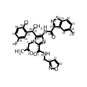 CC(=O)Cn1c(C(=O)NCc2ccon2)nc(NC(=O)c2nsc3ccc(F)cc23)c1[C@H](C)c1cc(F)ccc1Cl